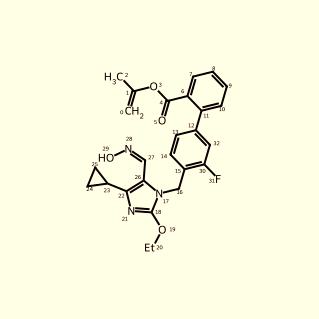 C=C(C)OC(=O)c1ccccc1-c1ccc(Cn2c(OCC)nc(C3CC3)c2/C=N\O)c(F)c1